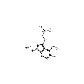 CCOc1c(F)ccc2c1c(CCN(C)C)cn2CC.Cl